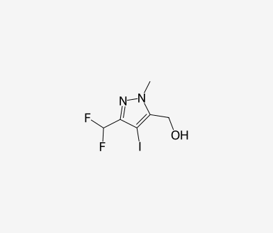 Cn1nc(C(F)F)c(I)c1CO